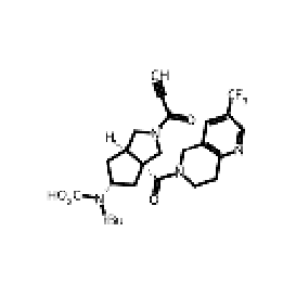 C#CC(=O)N1C[C@@H]2C[C@@H](N(C(=O)O)C(C)(C)C)C[C@]2(C(=O)N2CCc3ncc(C(F)(F)F)cc3C2)C1